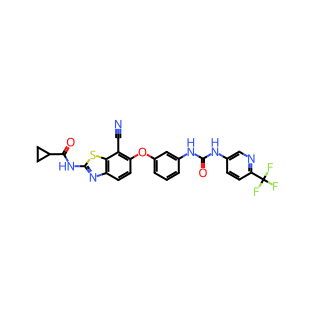 N#Cc1c(Oc2cccc(NC(=O)Nc3ccc(C(F)(F)F)nc3)c2)ccc2nc(NC(=O)C3CC3)sc12